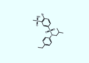 CCc1ccc(N(CC(C)C)S(=O)(=O)c2ccc(Br)c(S(C)(=N)=O)c2)cc1